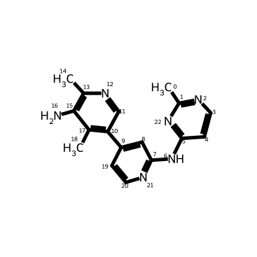 Cc1nccc(Nc2cc(-c3cnc(C)c(N)c3C)ccn2)n1